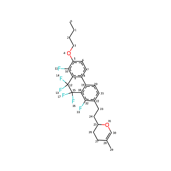 CCCCOc1ccc2c(c1F)C(F)(F)C(F)(F)c1c-2ccc(CCC2CCC(C)=CO2)c1F